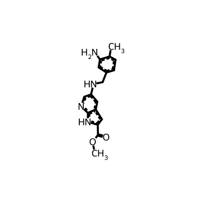 COC(=O)c1cc2cc(NCc3ccc(C)c(N)c3)cnc2[nH]1